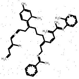 C=C/C=C(/C=C=CC/C(CCCC(/C=C\C(=C)/C(C)=N/c1cccnc1C)=C/C/N=C(\C)c1ccccc1)=C1\C=CC(C)=CC1C)C(C)C